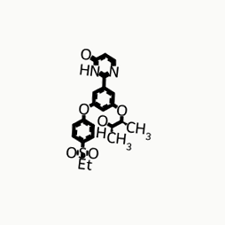 CCS(=O)(=O)c1ccc(Oc2cc(O[C@@H](C)[C@@H](C)O)cc(-c3nccc(=O)[nH]3)c2)cc1